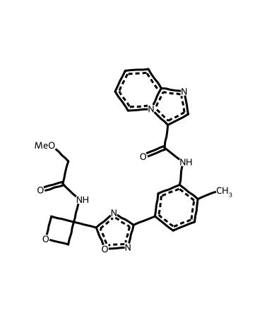 COCC(=O)NC1(c2nc(-c3ccc(C)c(NC(=O)c4cnc5ccccn45)c3)no2)COC1